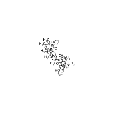 CC[C@@H](C(=O)[C@@H](C)[C@@H](O)[C@H](C)[C@@H]1O[C@@H]([C@@H](CC)C(=O)O)CC[C@@H]1C)[C@H]1O[C@]2(C=C[C@@H](NC(=O)NC3CCCCC3)[C@]3(CC[C@@](C)([C@H]4CC[C@](O)(CC)[C@H](C)O4)O3)O2)[C@H](C)C[C@@H]1C